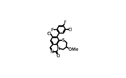 COC1CSc2c(-c3cc(Cl)c(F)cc3F)c(Cl)cc3cnc(=O)n(c23)C1